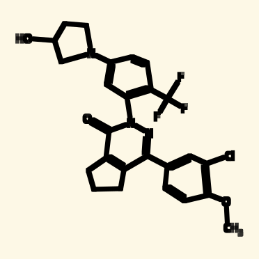 COc1ccc(-c2nn(-c3cc(N4CCC(O)C4)ccc3C(F)(F)F)c(=O)c3c2CCC3)cc1Cl